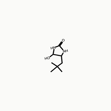 CC(C)(C)CC1NC(=O)NC1O